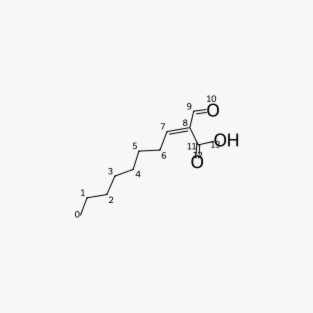 CCCCCCCC=C(C=O)C(=O)O